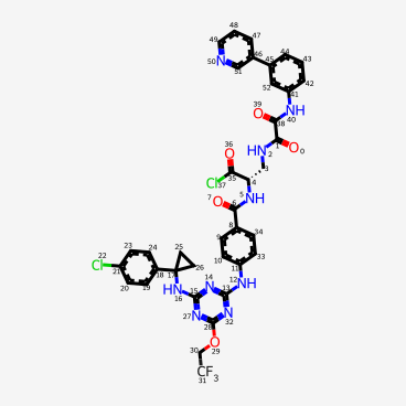 O=C(NC[C@H](NC(=O)c1ccc(Nc2nc(NC3(c4ccc(Cl)cc4)CC3)nc(OCC(F)(F)F)n2)cc1)C(=O)Cl)C(=O)Nc1cccc(-c2cccnc2)c1